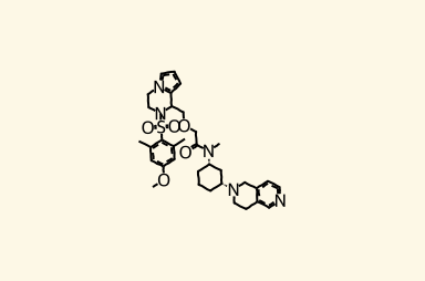 COc1cc(C)c(S(=O)(=O)N2CCn3cccc3C2COCC(=O)N(C)[C@H]2CCC[C@@H](N3CCc4cnccc4C3)C2)c(C)c1